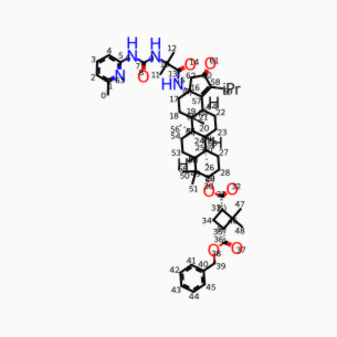 Cc1cccc(NC(=O)NC(C)(C)C(=O)N[C@@]23CC[C@]4(C)[C@H](CC[C@@H]5[C@@]6(C)CC[C@H](OC(=O)[C@H]7C[C@@H](C(=O)OCc8ccccc8)C7(C)C)C(C)(C)[C@@H]6CC[C@]54C)C2=C(C(C)C)C(=O)C3)n1